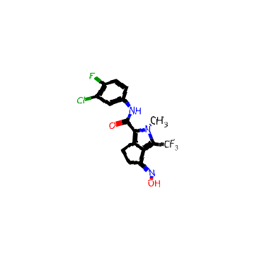 Cn1c(C(=O)Nc2ccc(F)c(Cl)c2)c2c(c1C(F)(F)F)C(=NO)CC2